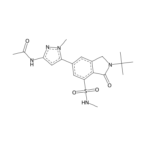 CNS(=O)(=O)c1cc(-c2cc(NC(C)=O)nn2C)cc2c1C(=O)N(C(C)(C)C)C2